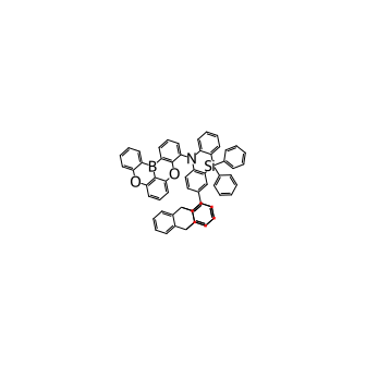 c1ccc([Si]2(c3ccccc3)c3ccccc3N(c3cccc4c3Oc3cccc5c3B4c3ccccc3O5)c3ccc(-c4cccc5c4C4c6ccccc6C5c5ccccc54)cc32)cc1